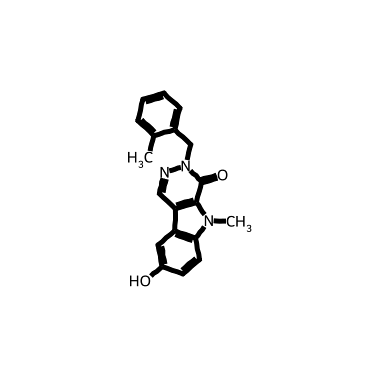 Cc1ccccc1Cn1ncc2c3cc(O)ccc3n(C)c2c1=O